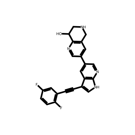 OC1CNCc2cc(-c3cnc4[nH]cc(C#Cc5cc(F)ccc5F)c4c3)cnc21